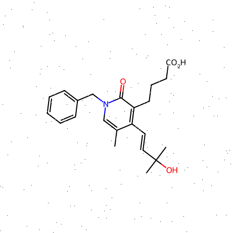 Cc1cn(Cc2ccccc2)c(=O)c(CCCC(=O)O)c1/C=C/C(C)(C)O